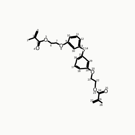 C=C(C)C(=O)OCCOc1cccc(Sc2cccc(OCCOC(=O)C(=C)C)c2)c1